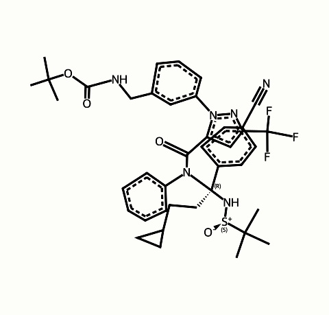 CC(C)(C)OC(=O)NCc1cccc(-n2nc(C(F)(F)F)cc2C(=O)N(c2ccccc2)[C@](CCC2CC2)(N[S@+]([O-])C(C)(C)C)c2ccc(C#N)cc2)c1